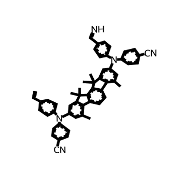 C=Cc1ccc(N(c2ccc(C#N)cc2)c2cc(C)c3c(c2)C(C)(C)c2c-3ccc3c2C(C)(C)c2cc(N(c4ccc(C#N)cc4)c4ccc(C=N)cc4)cc(C)c2-3)cc1